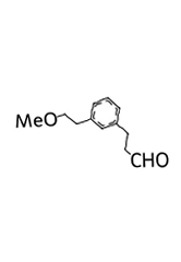 COCCc1cccc(CCC=O)c1